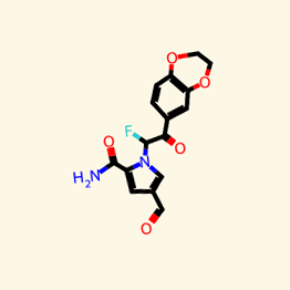 NC(=O)c1cc(C=O)cn1C(F)C(=O)c1ccc2c(c1)OCCO2